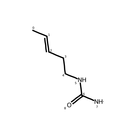 CC=CCCNC([NH])=O